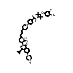 CC1(C)[C@H](NC(=O)c2ccc(N3CCC(/C=C/C=C4/CCC(n5nc(C6CC6)c6cc(N7CCNCC7)ccc6c5=O)C(=O)N4)CC3)cc2)C(C)(C)[C@H]1Oc1ccc(C#N)c(Cl)c1